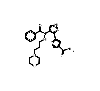 NC(=O)c1csc(-c2n[nH]cc2N(NCCCN2CCOCC2)C(=O)c2ccccc2)c1